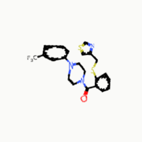 O=C(c1ccccc1SCc1cscn1)N1CCN(c2cccc(C(F)(F)F)c2)CC1